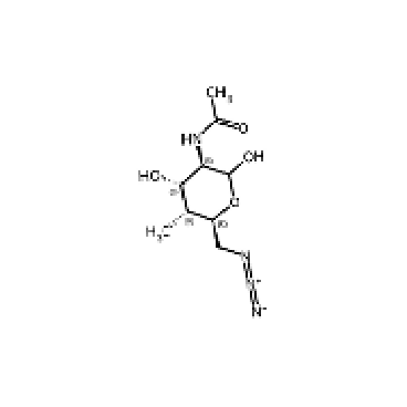 CC(=O)N[C@H]1C(O)O[C@@H](CN=[N+]=[N-])[C@H](C)[C@@H]1O